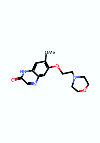 COc1cc2[nH]c(=O)cnc2cc1OCCN1CCOCC1